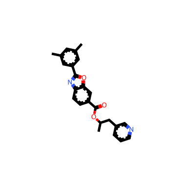 Cc1cc(C)cc(-c2nc3ccc(C(=O)OC(C)Cc4cccnc4)cc3o2)c1